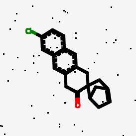 O=C1Cc2cc3cc(Cl)ccc3cc2CC12CC1=CCC2C1